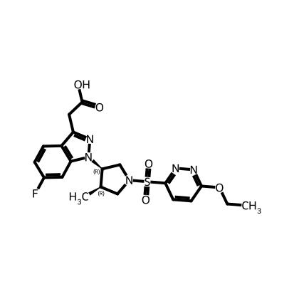 CCOc1ccc(S(=O)(=O)N2C[C@@H](C)[C@@H](n3nc(CC(=O)O)c4ccc(F)cc43)C2)nn1